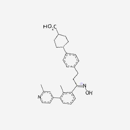 Cc1cc(-c2cccc(/C(CCc3ccc(C4CCC(C(=O)O)CC4)cc3)=N\O)c2C)ccn1